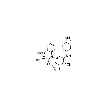 COc1ccccc1N(C(=O)OC(C)(C)C)c1cc(N[C@H]2CC[C@H](N)CC2)c(C#N)c2ccnn12